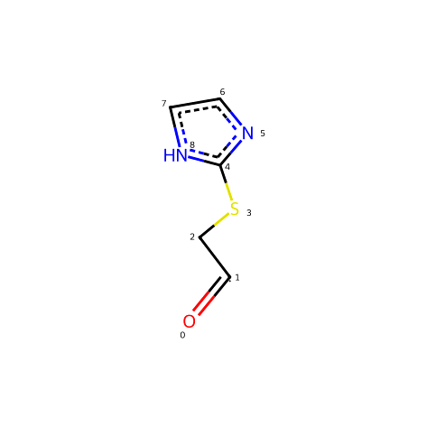 O=[C]CSc1ncc[nH]1